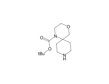 CC(C)(C)OC(=O)N1CCOCC12CCNCC2